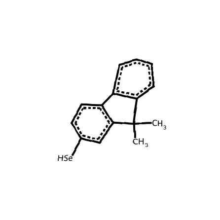 CC1(C)c2ccccc2-c2ccc([SeH])cc21